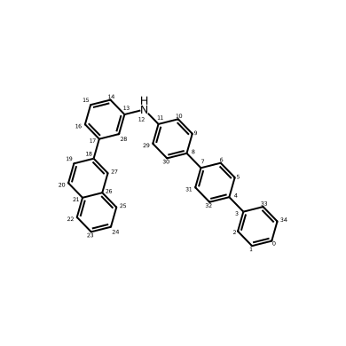 c1ccc(-c2ccc(-c3ccc(Nc4cccc(-c5ccc6ccccc6c5)c4)cc3)cc2)cc1